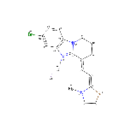 CCN1CCSC1=CC=C1CCCn2c1[n+](CC)c1cc(Br)ccc12.[I-]